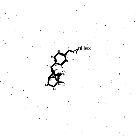 CCCCCCOCc1ccc(/C=C2\C(=O)C3(C)CCC2C3(C)C)cc1